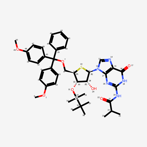 COc1ccc(C(OC[C@H]2S[C@@H](n3cnc4c(=O)[nH]c(NC(=O)C(C)C)nc43)[C@H](O)[C@@H]2O[Si](C)(C)C(C)(C)C)(c2ccccc2)c2ccc(OC)cc2)cc1